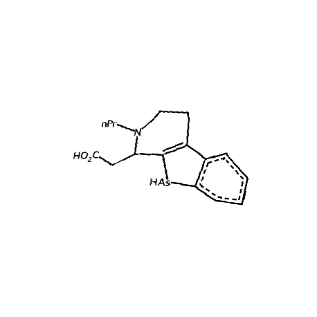 CCCN1CCC2=C([AsH]c3ccccc32)C1CC(=O)O